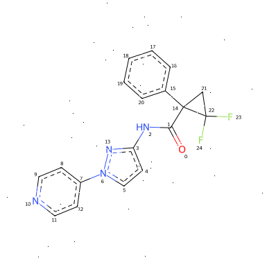 O=C(Nc1ccn(-c2ccncc2)n1)C1(c2ccccc2)CC1(F)F